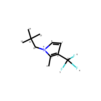 Cc1c(C(F)(F)F)ccn1CC(C)(C)C